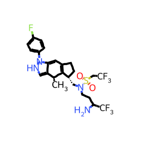 C[C@H]1C2=CNN(c3ccc(F)cc3)C2=CC2=C1[C@@H](CN(CCC(N)C(F)(F)F)S(=O)(=O)CC(F)(F)F)CC2